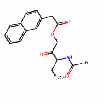 CCCC(=O)NC(CC(=O)O)C(=O)COC(=O)Cc1ccc2ccccc2c1